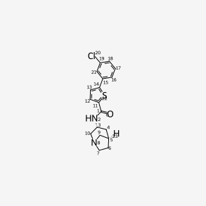 O=C(N[C@@H]1C[C@H]2CCN(C2)C1)c1ccc(-c2cccc(Cl)c2)s1